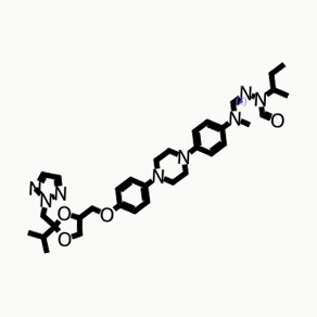 CCC(C)N(C=O)/N=C\N(C)c1ccc(N2CCN(c3ccc(OCC4COC(Cn5nccn5)(C(C)C)O4)cc3)CC2)cc1